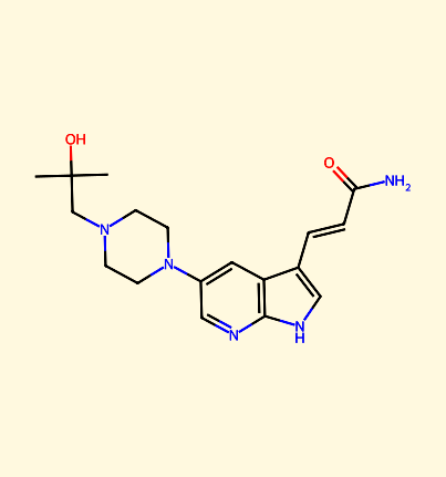 CC(C)(O)CN1CCN(c2cnc3[nH]cc(/C=C/C(N)=O)c3c2)CC1